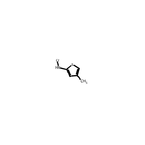 Cc1csc(NCl)c1